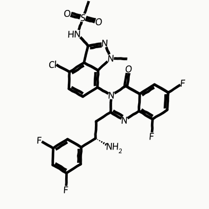 Cn1nc(NS(C)(=O)=O)c2c(Cl)ccc(-n3c(C[C@H](N)c4cc(F)cc(F)c4)nc4c(F)cc(F)cc4c3=O)c21